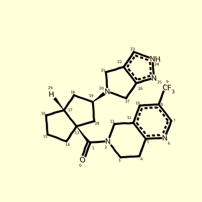 O=C(N1CCc2ncc(C(F)(F)F)cc2C1)[C@@]12CCC[C@@H]1C[C@@H](N1Cc3c[nH]nc3C1)C2